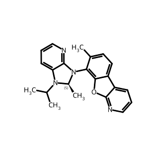 Cc1ccc2c(oc3ncccc32)c1N1c2ncccc2N(C(C)C)[C@@H]1C